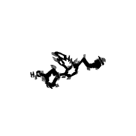 COc1nc(/C=C/C#N)ccc1-n1cnc(C)c1